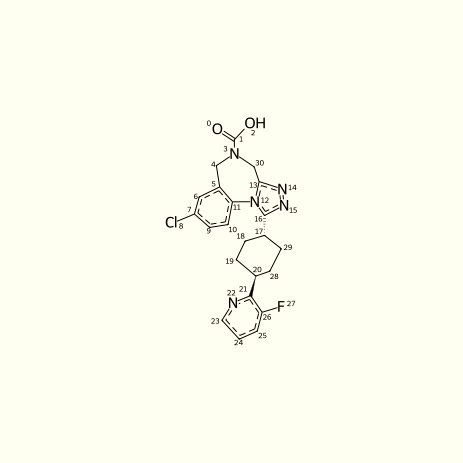 O=C(O)N1Cc2cc(Cl)ccc2-n2c(nnc2[C@H]2CC[C@H](c3ncccc3F)CC2)C1